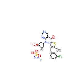 N#Cc1sc(C(=O)c2cncnc2NC2C[C@H](COS(N)(=O)=O)[C@@H](O)C2)cc1Cc1cccc(Cl)c1